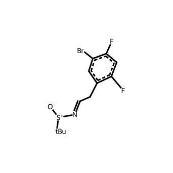 CC(C)(C)[S+]([O-])/N=C/Cc1cc(Br)c(F)cc1F